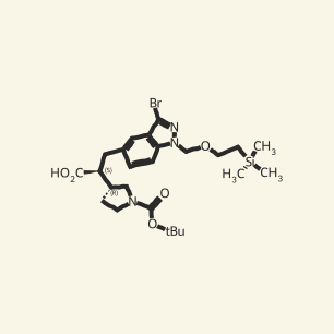 CC(C)(C)OC(=O)N1CC[C@H]([C@H](Cc2ccc3c(c2)c(Br)nn3COCC[Si](C)(C)C)C(=O)O)C1